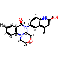 Cc1cc(O)nc2ccc(NC(=O)c3cc([N+](=O)[O-])ccc3N3CCOCC3)cc12